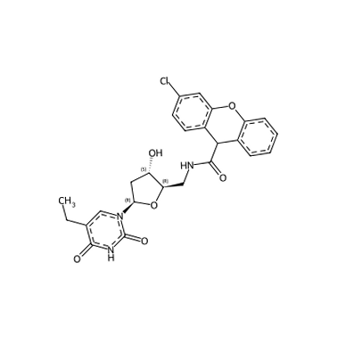 CCc1cn([C@H]2C[C@H](O)[C@@H](CNC(=O)C3c4ccccc4Oc4cc(Cl)ccc43)O2)c(=O)[nH]c1=O